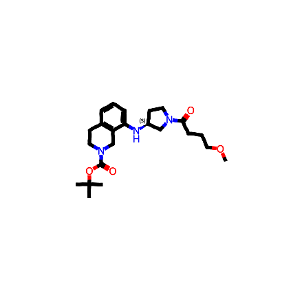 COCCCC(=O)N1CC[C@H](Nc2cccc3c2CN(C(=O)OC(C)(C)C)CC3)C1